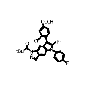 CC(C)c1c(-c2ccc(C(=O)O)cc2Cl)c2cc3c(cnn3C(=O)C(C)(C)C)cc2n1-c1ccc(F)cc1